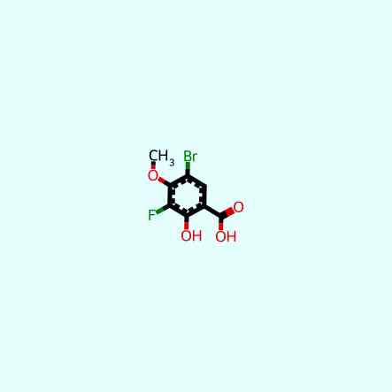 COc1c(Br)cc(C(=O)O)c(O)c1F